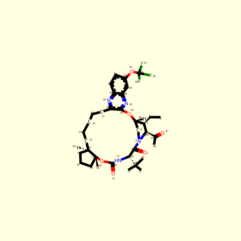 CC[C@@H]1[C@@H]2CN(C(=O)[C@H](C(C)(C)C)NC(=O)O[C@]3(C)CCC[C@H]3CCCCCc3nc4ccc(OC(F)(F)F)cc4nc3O2)[C@@H]1C(C)=O